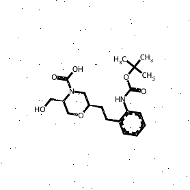 CC(C)(C)OC(=O)Nc1ccccc1CC[C@@H]1CN(C(=O)O)[C@H](CO)CO1